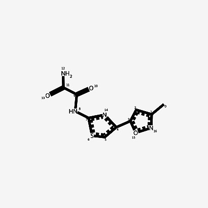 Cc1cc(-c2csc(NC(=O)C(N)=O)n2)on1